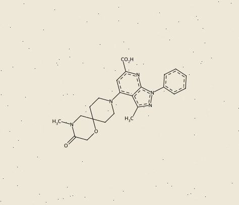 Cc1nn(-c2ccccc2)c2nc(C(=O)O)cc(N3CCC4(CC3)CN(C)C(=O)CO4)c12